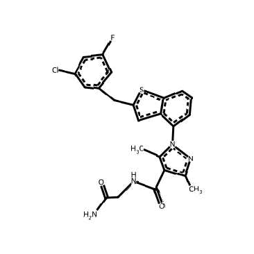 Cc1nn(-c2cccc3sc(Cc4cc(F)cc(Cl)c4)cc23)c(C)c1C(=O)NCC(N)=O